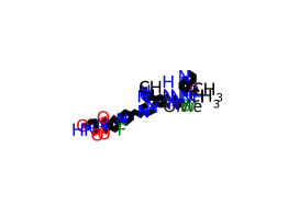 COc1cc(N2CCN(CCC3CCN(c4cc5c(cc4F)C(=O)N(C4CCC(=O)NC4=O)C5=O)CC3)CC2)c(-c2cnn(C)c2)cc1Nc1ncc(Br)c(Nc2ccc3ncccc3c2P(C)C)n1